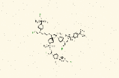 C=C(C)c1ccc(C(C)(C)CCC(CCF)c2ccc(C(C)(C)CC(CCCCC(CCF)c3ccc(C(C)(C)CCF)cc3)c3ccc(C(C)(C)CCC(CF)c4ccc(C(C)(C)CCCCF)cc4)cc3)cc2)cc1